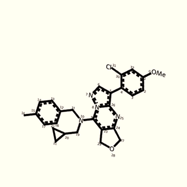 COc1ccc(-c2cnn3c(N(Cc4ccc(C)cc4)CC4CC4)c4c(nc23)COC4)c(Cl)c1